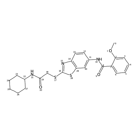 COc1ccccc1C(=O)Nc1ccc2nc(SCC(=O)NC3CCCCC3)sc2c1